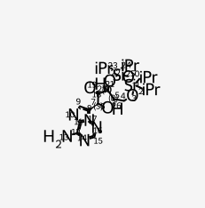 CC(C)[Si]1(C(C)C)OC[C@H]2O[C@@H](c3cnc4c(N)ncnn34)C(=O)[C@@H]2O[Si](C(C)C)(C(C)C)O1